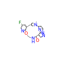 CN1CCc2cc(F)cnc2OCCNC(=O)c2cnn3ccc1nc23